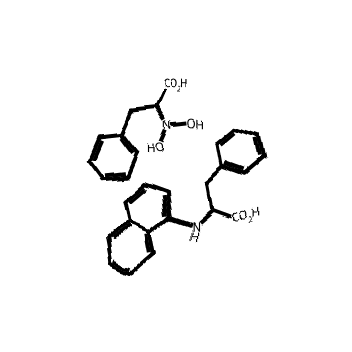 O=C(O)C(Cc1ccccc1)N(O)O.O=C(O)C(Cc1ccccc1)Nc1cccc2ccccc12